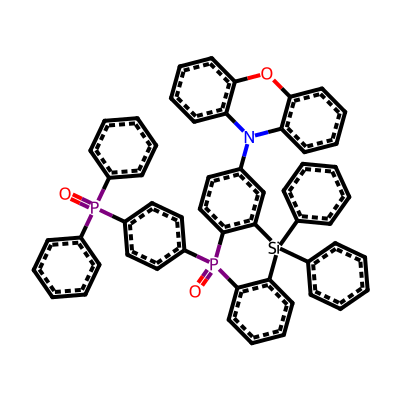 O=P(c1ccccc1)(c1ccccc1)c1ccc(P2(=O)c3ccccc3[Si](c3ccccc3)(c3ccccc3)c3cc(N4c5ccccc5Oc5ccccc54)ccc32)cc1